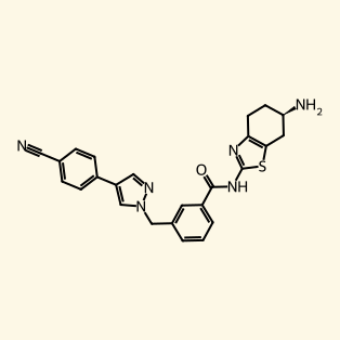 N#Cc1ccc(-c2cnn(Cc3cccc(C(=O)Nc4nc5c(s4)C[C@H](N)CC5)c3)c2)cc1